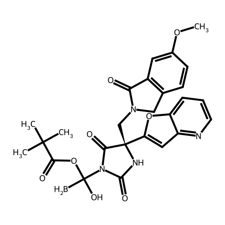 BC(O)(OC(=O)C(C)(C)C)N1C(=O)N[C@@](CN2Cc3ccc(OC)cc3C2=O)(c2cc3ncccc3o2)C1=O